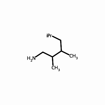 CC(C)CC(C)C(C)CN